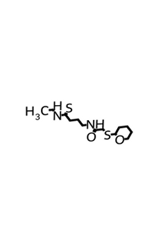 CCNC(=S)CCCNC(=O)CSC1CCCCO1